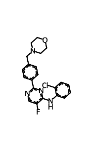 Fc1cnc(-c2ccc(CN3CCOCC3)cc2)nc1Nc1ccccc1Cl